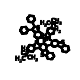 CC(C)(C)c1ccc(Nc2cc3sc4ccccc4c3cc2-c2c3c4c(c5cc(C(C)(C)C)ccc5n4-c4cc5c(-c6ccccc6)c(-c6ccccc6)sc5cc4B3)c3sc4ccccc4c23)cc1